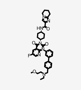 CCN(CCOC)Cc1ccc(-c2cccc(-n3c(=O)n([C@H]4CC[C@@H](NC(=O)c5cn6c(n5)CCCC6)CC4)c(=O)c4cc(F)cnc43)c2)cc1